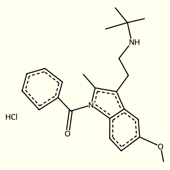 COc1ccc2c(c1)c(CCNC(C)(C)C)c(C)n2C(=O)c1ccccc1.Cl